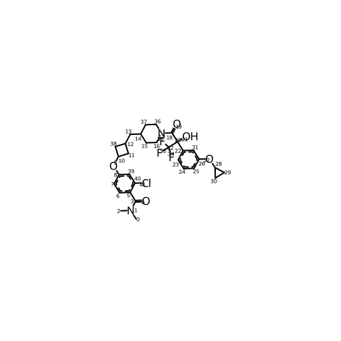 CN(C)C(=O)c1ccc(OC2CC(CC3CCN(C(=O)[C@](O)(c4cccc(OC5CC5)c4)C(F)(F)F)CC3)C2)cc1Cl